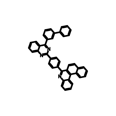 c1ccc(-c2cccc(-c3nc(-c4ccc(-c5nc6ccccc6c6c5ccc5ccccc56)cc4)nc4ccccc34)c2)cc1